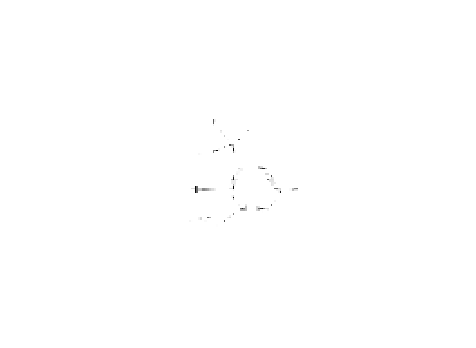 Cc1nc2cc(I)cc(C(F)(F)F)c2[nH]1